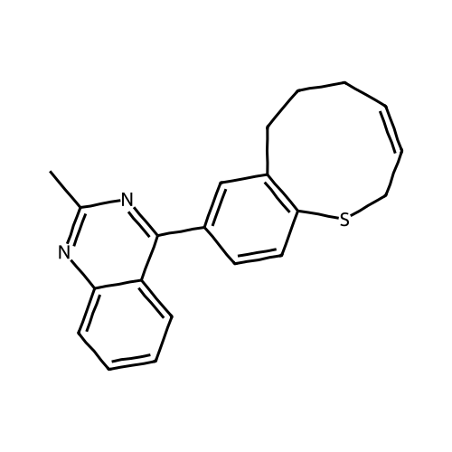 Cc1nc(-c2ccc3c(c2)CCC/C=C\CS3)c2ccccc2n1